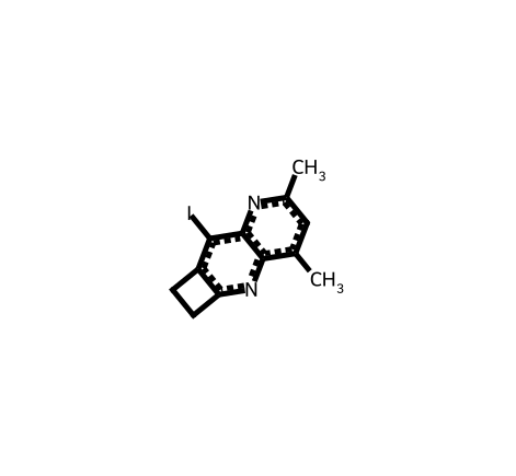 Cc1cc(C)c2nc3c(c(I)c2n1)CC3